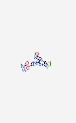 CNC(=O)OC1CN(C2=Nc3cnc(Cl)cc3N3CC(=O)N=C23)C1